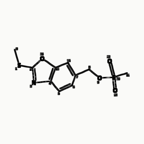 CSc1nc2ccc(COS(C)(=O)=O)cc2o1